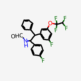 O=CNC(c1ccc(F)cc1)C(c1ccccc1)c1cc(F)cc(OC(F)(F)C(F)F)c1